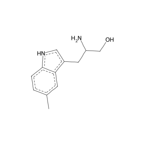 Cc1ccc2[nH]cc(CC(N)CO)c2c1